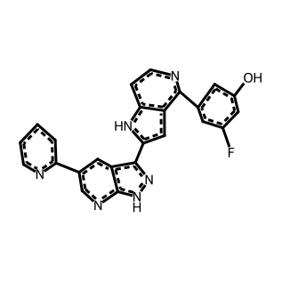 Oc1cc(F)cc(-c2nccc3[nH]c(-c4n[nH]c5ncc(-c6ccccn6)cc45)cc23)c1